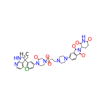 CCC1(c2cccc(N3CCN(S(=O)(=O)CCN4CCN(c5ccc6c(c5)C(=O)N(C5CCC(=O)NC5=O)C6=O)CC4)CC3=O)c2)CNc2nccc(Cl)c21